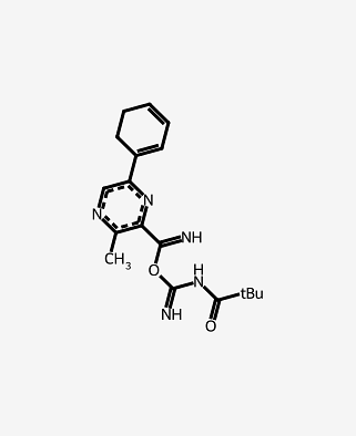 Cc1ncc(C2=CC=CCC2)nc1C(=N)OC(=N)NC(=O)C(C)(C)C